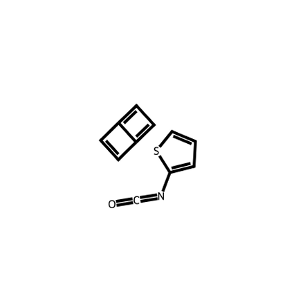 O=C=Nc1cccs1.c1cc2ccc1-2